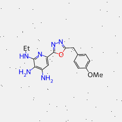 CCNc1nc(-c2nnc(Cc3ccc(OC)cc3)o2)cc(N)c1N